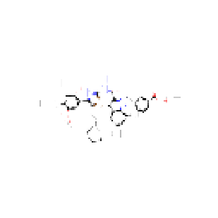 COC(=O)c1cccc(Cn2c(C(=O)Nc3nc(-c4cc(OC)c(C)cc4OC)c(CCC4CCCCC4)s3)cc3cc(C)cc(C)c32)c1